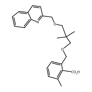 Cc1cccc(COCC(C)(C)COCc2ccc3ccccc3n2)c1C(=O)O